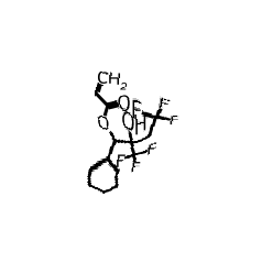 C=CC(=O)OC(C1CCCCC1)C(O)(CC(F)(F)F)C(F)(F)F